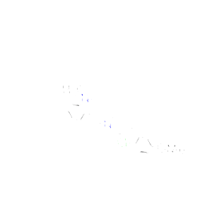 COc1ccc(Cl)c(CC2CCN(CC3CCN(C)c4ccccc43)CC2)c1